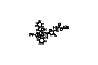 CC(C)CCN(C(O)(CCNC(=O)CC(C)CCNC(=O)OC(C)(C)C)Cc1ccccc1)S(=O)(=O)c1ccccc1